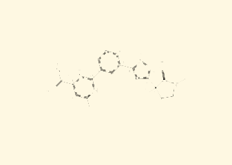 CN1CCC(O)(c2cc(-c3cccc(-c4nc(C(N)=O)cc(C(F)(F)F)n4)c3)no2)C1=O